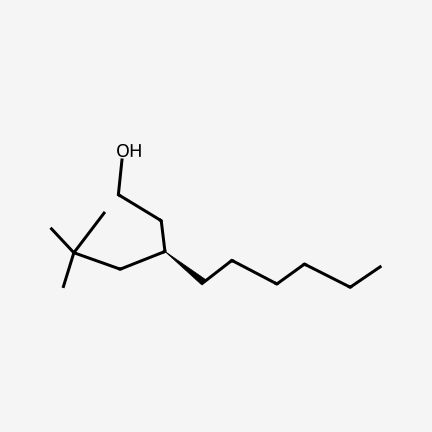 CCCCCC[C@H](CCO)CC(C)(C)C